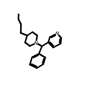 CCCCC1CCN(C(c2ccccc2)c2cccnc2)CC1